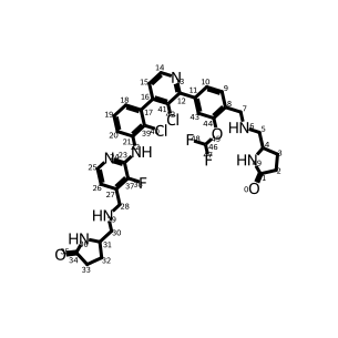 O=C1CCC(CNCc2ccc(-c3nccc(-c4cccc(Nc5nccc(CNCC6CCC(=O)N6)c5F)c4Cl)c3Cl)cc2OC(F)F)N1